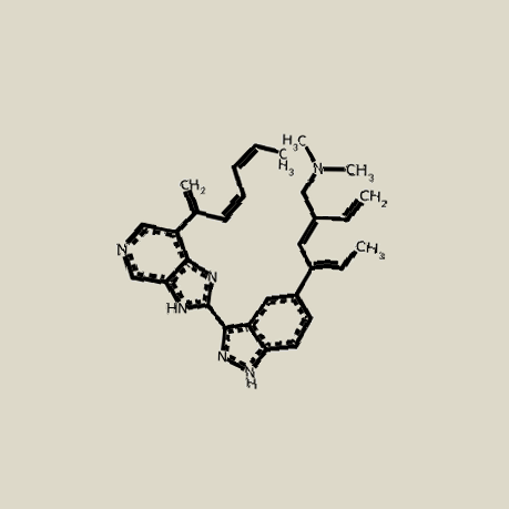 C=C/C(=C\C(=C/C)c1ccc2[nH]nc(-c3nc4c(C(=C)/C=C\C=C/C)cncc4[nH]3)c2c1)CN(C)C